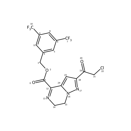 O=C(OCc1cc(C(F)(F)F)cc(C(F)(F)F)c1)C1=NCCn2nc(C(=O)CCl)cc21